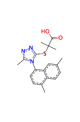 Cc1ccc2c(C)ccc(-n3c(C)nnc3SC(C)(C)C(=O)O)c2c1